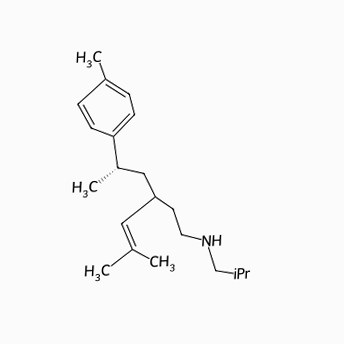 CC(C)=CC(CCNCC(C)C)C[C@H](C)c1ccc(C)cc1